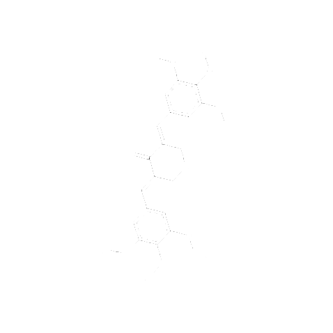 COc1cc(C=C2COCC(=Cc3cc(OC)c(OC)c(OC)c3)C2=O)cc(OC)c1OC